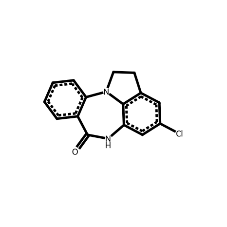 O=C1Nc2cc(Cl)cc3c2N(CC3)c2ccccc21